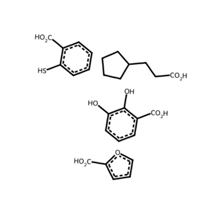 O=C(O)CCC1CCCC1.O=C(O)c1cccc(O)c1O.O=C(O)c1ccccc1S.O=C(O)c1ccco1